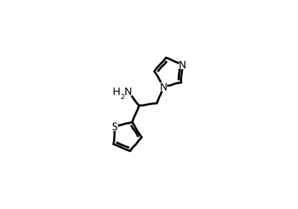 NC(Cn1ccnc1)c1cccs1